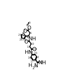 CCOC(=O)CC(NC(=O)CCC(=O)Nc1ccc(C(=N)N)cc1)c1cccs1